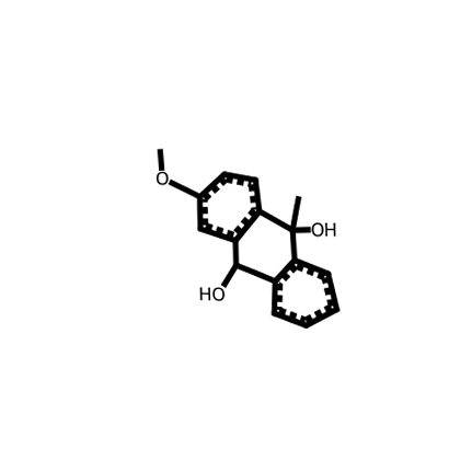 COc1ccc2c(c1)C(O)c1ccccc1C2(C)O